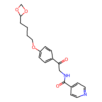 O=C(CNC(=O)c1ccncc1)c1ccc(OCCCCC2OCO2)cc1